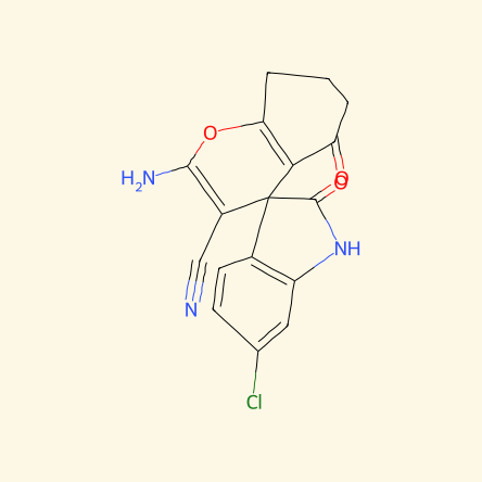 N#CC1=C(N)OC2=C(C(=O)CCC2)C12C(=O)Nc1cc(Cl)ccc12